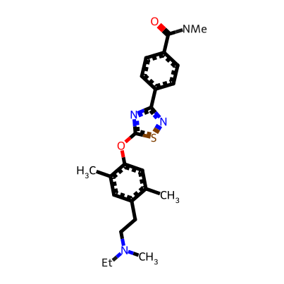 CCN(C)CCc1cc(C)c(Oc2nc(-c3ccc(C(=O)NC)cc3)ns2)cc1C